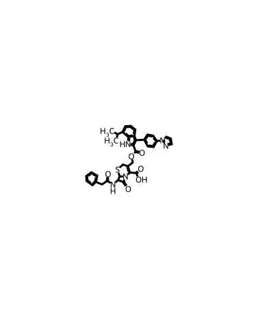 CC(C)c1cccc2c(-c3ccc(-n4cccn4)cc3)c(C(=O)OCC3=C(C(=O)O)N4C(=O)C(NC(=O)Cc5ccccc5)C4SC3)[nH]c12